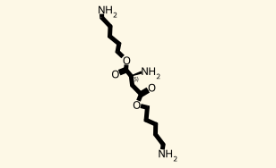 NCCCCCOC(=O)C[C@H](N)C(=O)OCCCCCN